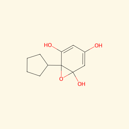 OC1=CC2(O)OC2(C2CCCC2)C(O)=C1